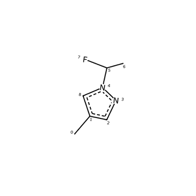 Cc1cnn(C(C)F)c1